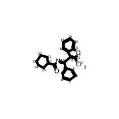 O=C(N=C(c1ccccc1)c1c(C(F)(F)F)oc2ccccc12)C1CCCCC1